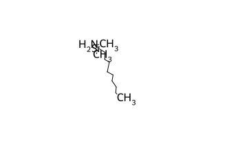 CCCCCCCCC[Si](C)(C)N